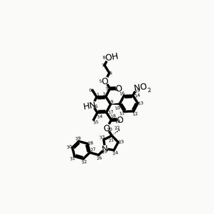 CC1=C(C(=O)OCCO)[C@@H](c2cccc([N+](=O)[O-])c2)C(C(=O)O[C@@]2(C)CCN(Cc3ccccc3)C2)=C(C)N1